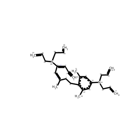 C#C/C=C(\C=C(\C)CCc1c(C)cc(N(CC=C)CC=C)cc1C)N(CC=C)CC=C